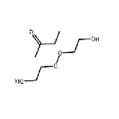 CCC(C)=O.OCCOOCCO